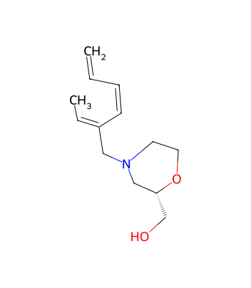 C=C/C=C\C(=C/C)CN1CCO[C@H](CO)C1